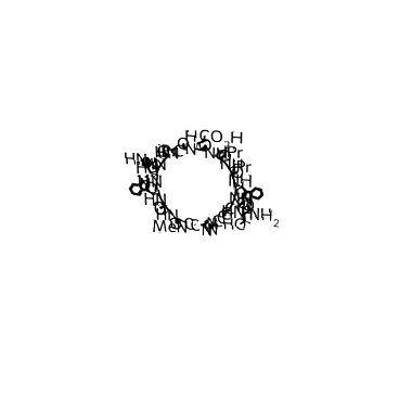 CN[C@H]1CCc2cn(nn2)CCCC[C@@H](C(=O)N[C@H](C(N)=O)[C@@H](C)O)NC(=O)[C@H](Cc2c[nH]c3ccccc23)NC(=O)[C@H](C(C)C)NC(=O)[C@H](CC(C)C)NC(=O)[C@H](CCC(=O)O)NC(=O)CNC(=O)[C@H](CC(C)C)NC(=O)[C@H](Cc2c[nH]cn2)NC(=O)[C@H](Cc2c[nH]c3ccccc23)NC(=O)[C@H](C)NC1=O